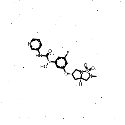 CN1C[C@@H]2C[C@@H](Oc3cc(F)cc(N(O)C(=O)Nc4cccnc4)c3)CN2S1(=O)=O